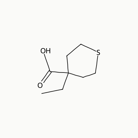 CCC1(C(=O)O)CCSCC1